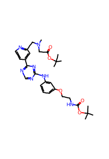 CN(CC(=O)OC(C)(C)C)Cc1cc(-c2ncnc(Nc3cccc(OCCNC(=O)OC(C)(C)C)c3)n2)ccn1